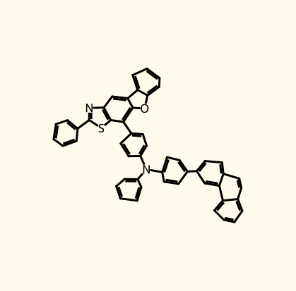 c1ccc(-c2nc3cc4c(oc5ccccc54)c(-c4ccc(N(c5ccccc5)c5ccc(-c6ccc7ccc8ccccc8c7c6)cc5)cc4)c3s2)cc1